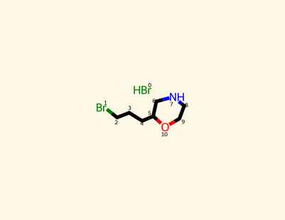 Br.BrCCCC1CNCCO1